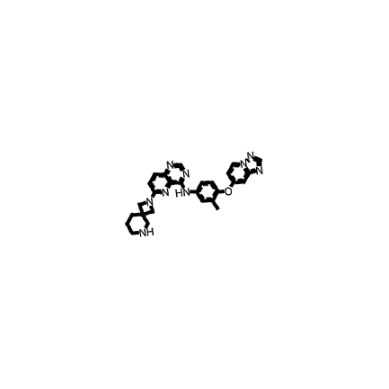 Cc1cc(Nc2ncnc3ccc(N4CC5(CCCNC5)C4)nc23)ccc1Oc1ccn2ncnc2c1